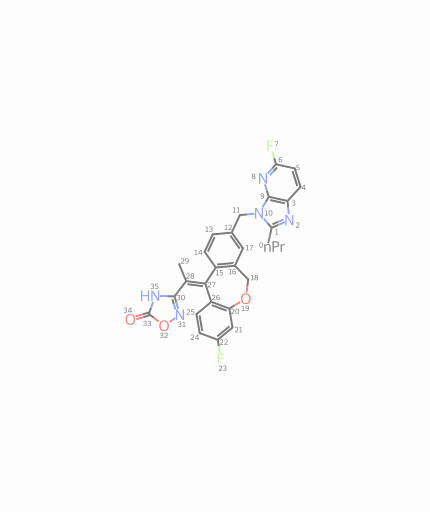 CCCc1nc2ccc(F)nc2n1Cc1ccc2c(c1)COc1cc(F)ccc1C2=C(C)c1noc(=O)[nH]1